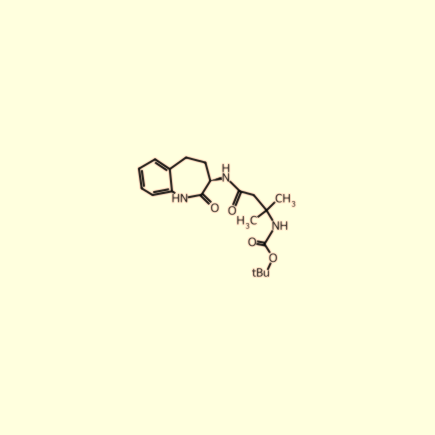 CC(C)(CC(=O)N[C@@H]1CCc2ccccc2NC1=O)NC(=O)OC(C)(C)C